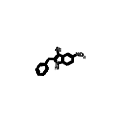 CC(=O)c1c(Cc2ccccc2)[nH]c2ccc([N+](=O)[O-])cc12